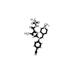 Cc1sc(N(CC2CCN(C)CC2)c2ccc(C#N)cc2)nc1C(=O)NS(C)(=O)=O